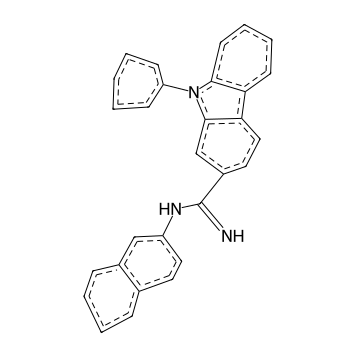 N=C(Nc1ccc2ccccc2c1)c1ccc2c3ccccc3n(-c3ccccc3)c2c1